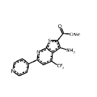 COC(=O)c1sc2nc(-c3ccncc3)cc(C(F)(F)F)c2c1N